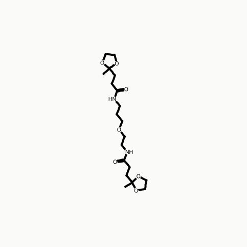 CC1(CCC(=O)NCCCOCCNC(=O)CCC2(C)OCCO2)OCCO1